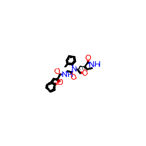 Cc1ccccc1N(C(=O)CNC(=O)c1cc2ccccc2o1)[C@H](C=O)C[C@@H]1CCNC1=O